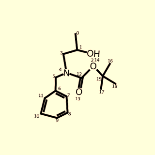 CC(O)CN(Cc1ccccc1)C(=O)OC(C)(C)C